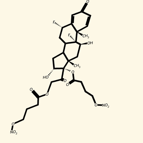 C[C@]12C=CC(=O)C=C1[C@@H](F)CC1C3C[C@@H](O)[C@](OC(=O)CCCO[N+](=O)[O-])(C(=O)COC(=O)CCCO[N+](=O)[O-])[C@@]3(C)C[C@H](O)[C@@]12F